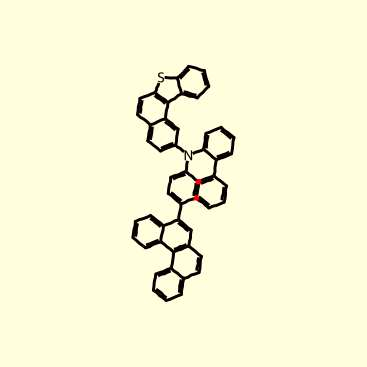 c1ccc(-c2ccccc2N(c2ccc(-c3cc4ccc5ccccc5c4c4ccccc34)cc2)c2ccc3ccc4sc5ccccc5c4c3c2)cc1